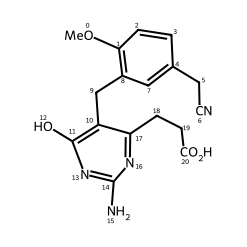 COc1ccc(CC#N)cc1Cc1c(O)nc(N)nc1CCC(=O)O